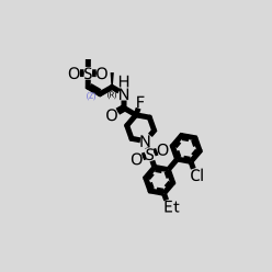 CCc1ccc(S(=O)(=O)N2CCC(F)(C(=O)N[C@H](C)/C=C\S(C)(=O)=O)CC2)c(-c2ccccc2Cl)c1